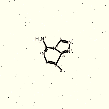 Cc1cnc(N)n2cnnc12